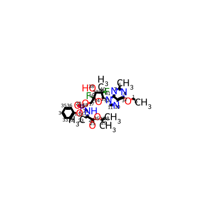 CCOc1nc(C)nc2c1ncn2[C@@H]1O[C@](F)(COP(=O)(NC(C)C(=O)OC(C)C)Oc2ccccc2)[C@@H](O)[C@@]1(C)F